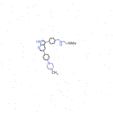 CNCCNCc1ccc(-c2c[nH]c3ncc(-c4ccc(N5CCN(C)CC5)cc4)cc23)cc1